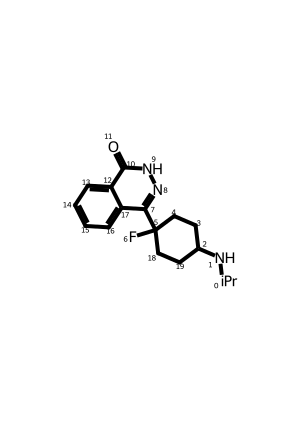 CC(C)NC1CCC(F)(c2n[nH]c(=O)c3ccccc23)CC1